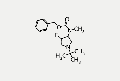 CN(C(=O)OCc1ccccc1)C1CN(C(C)(C)C)CC1F